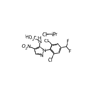 CC(C)Cl.O=C(O)Nc1c([N+](=O)[O-])cnn1-c1c(Cl)cc(C(F)F)cc1Cl